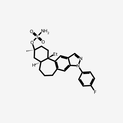 CC[C@]12CC[C@](C)(OS(N)(=O)=O)C[C@@H]1CCCc1cc3c(cnn3-c3ccc(F)cc3)cc12